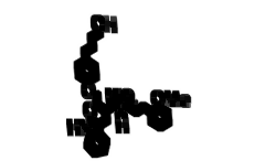 COc1ccccc1CCC(=O)NC(N)C(Cc1c[nH]c2ccccc12)C(=O)COc1ccc(CCCCO)cc1